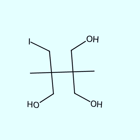 CC(CO)(CO)C(C)(CO)CI